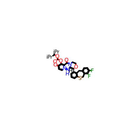 CC(C)C(OC(=O)Oc1c2n(ccc1=O)N[C@@H]1[C@H](c3cccc4c3Cc3ccc(F)c(F)c3CS4)OCCN1C2=O)C(C)C